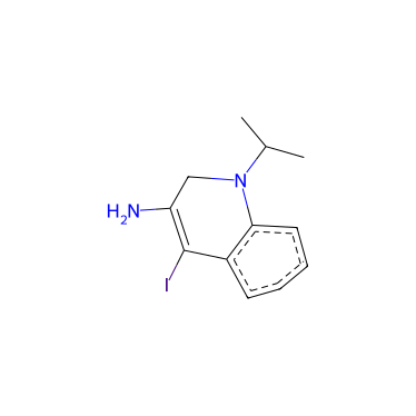 CC(C)N1CC(N)=C(I)c2ccccc21